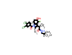 Cc1c([C@H](C)C(=O)NCC(C)C(=O)O)c2c(F)c(O)ccc2n1C(=O)c1ccc(Cl)c(Cl)c1